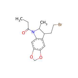 CCC(=O)N1c2cc3c(cc2C(CCBr)C1C)OCO3